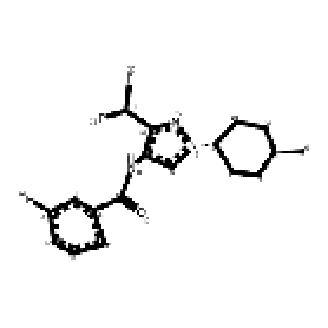 C[C@H]1CC[C@H](n2cc(NC(=O)c3cccc(F)c3)c(C(F)F)n2)CC1